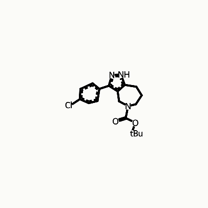 CC(C)(C)OC(=O)N1CCCc2[nH]nc(-c3ccc(Cl)cc3)c2C1